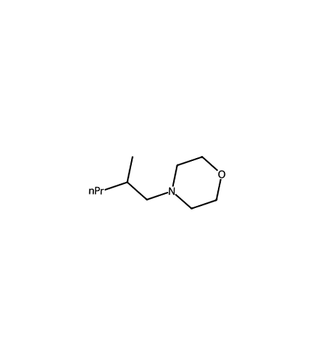 CCCC(C)CN1CCOCC1